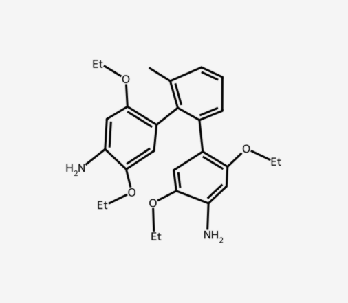 CCOc1cc(-c2cccc(C)c2-c2cc(OCC)c(N)cc2OCC)c(OCC)cc1N